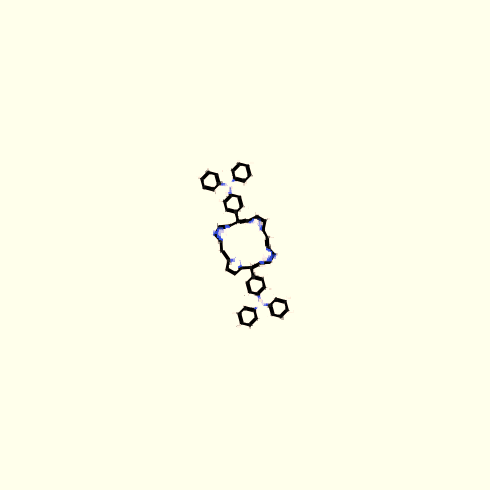 C1=Cc2nc1cc1ccc([nH]1)c(-c1ccc(N(c3ccccc3)c3ccccc3)cc1)c1nc(cc3ccc([nH]3)c2-c2ccc(N(c3ccccc3)c3ccccc3)cc2)C=C1